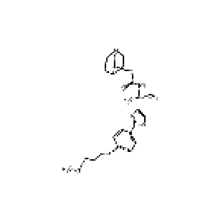 COCCCOc1ccc(-c2nc(C(C)(C)NC(=O)OC3CN4CCC3CC4)cs2)cc1